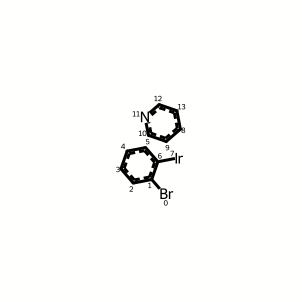 Brc1cccc[c]1[Ir].c1ccncc1